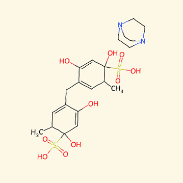 C1CN2CCN1CC2.CC1C=C(CC2=CC(C)C(O)(S(=O)(=O)O)C=C2O)C(O)=CC1(O)S(=O)(=O)O